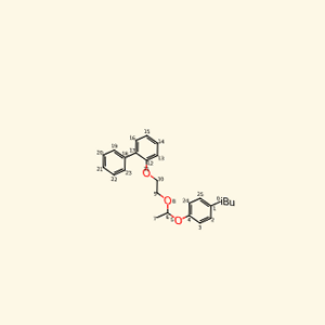 CCC(C)c1ccc(OC(C)OCCOc2ccccc2-c2ccccc2)cc1